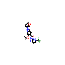 CC(C)Oc1cc2nn([C@@]34CC[C@@](C)(C3)OC4)cc2cc1C(=O)Nc1cccc(C(F)F)n1